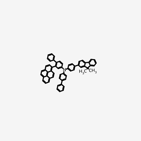 CC1(C)c2ccccc2-c2ccc(-c3ccc(N(c4ccc(-c5ccccc5)cc4)c4ccc(-c5ccccc5)c(-c5ccc6ccc7cccc8ccc5c6c78)c4)cc3)cc21